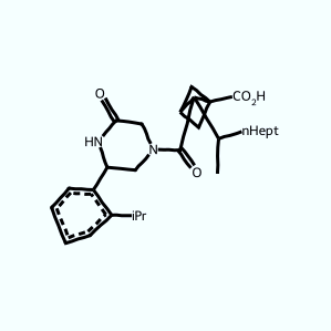 CCCCCCCC(C)C1(C(=O)N2CC(=O)NC(c3ccccc3C(C)C)C2)C2CC1(C(=O)O)C2